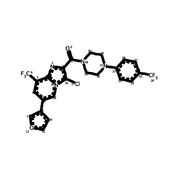 O=C(c1nc2c(C(F)(F)F)cc(-c3ccoc3)cn2c1Cl)N1CCN(c2ccc(C(F)(F)F)cc2)CC1